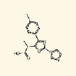 CC(C(=O)O)c1oc(-n2ccnc2)nc1-c1ccc(Cl)cc1